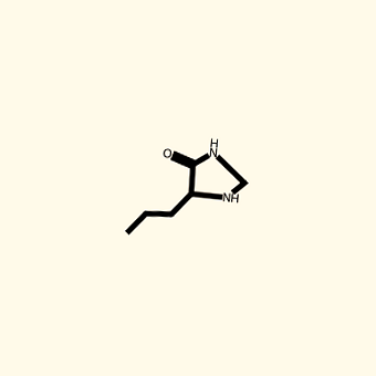 CCCC1NCNC1=O